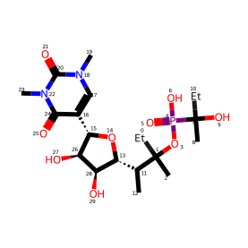 CCC(C)(OP(=O)(O)C(C)(O)CC)C(C)[C@H]1O[C@@H](c2cn(C)c(=O)n(C)c2=O)[C@H](O)[C@@H]1O